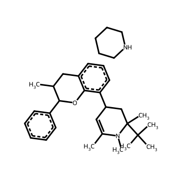 C1CCNCC1.CC1=CC(c2cccc3c2OC(c2ccccc2)C(C)C3)CC(C)(C(C)(C)C)N1C